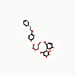 O=C1OCC2OC(Oc3cc(O)c(C(=O)CCc4ccccc4)c(O)c3)C(O)C(O)C2OC(=O)c2cc(O)c(O)c(O)c2-c2c1cc(O)c(O)c2O